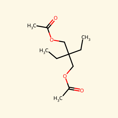 CCC(CC)(COC(C)=O)COC(C)=O